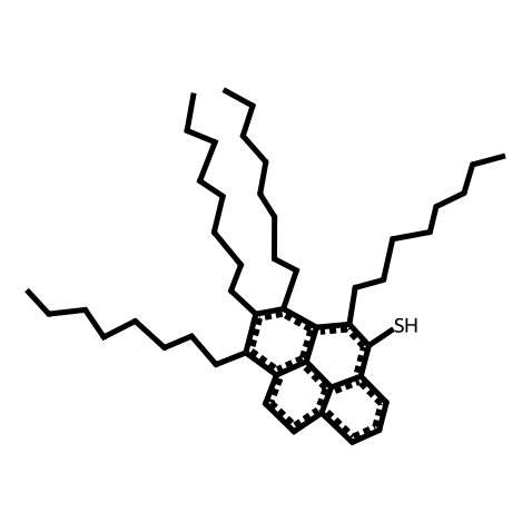 CCCCCCCCc1c(CCCCCCCC)c2ccc3cccc4c(S)c(CCCCCCCC)c(c1CCCCCCCC)c2c34